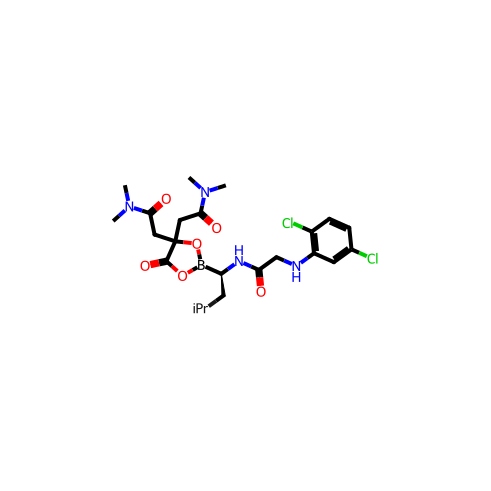 CC(C)C[C@H](NC(=O)CNc1cc(Cl)ccc1Cl)B1OC(=O)C(CC(=O)N(C)C)(CC(=O)N(C)C)O1